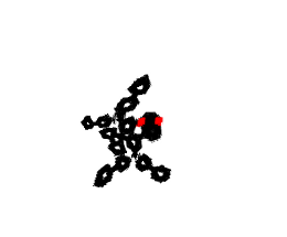 c1ccc(-c2ccc(N(c3ccc(-c4ccccc4)cc3)c3cc(-c4ccccc4)cc(C4(c5cc(-c6ccccc6)cc(N(c6ccc(-c7ccccc7)cc6)c6ccc(-c7ccccc7)cc6)c5)c5ccccc5-c5ccccc54)c3)cc2)cc1